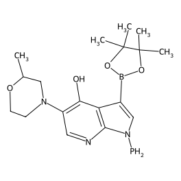 CC1CN(c2cnc3c(c(B4OC(C)(C)C(C)(C)O4)cn3P)c2O)CCO1